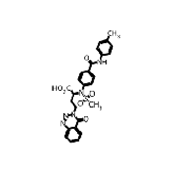 Cc1ccc(NC(=O)c2ccc(N(C(CCn3nnc4ccccc4c3=O)C(=O)O)S(C)(=O)=O)cc2)cc1